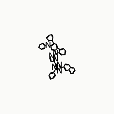 C1=CC2c3cc4c5ccccc5n(-c5nccc(-c6nc(-c7ccccc7)nc(-c7ccc8ccccc8c7)n6)n5)c4cc3N(c3ccccc3)C2C=C1